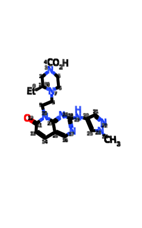 CC[C@H]1CN(C(=O)O)CCN1CCn1c(=O)ccc2cnc(Nc3cnn(C)c3)nc21